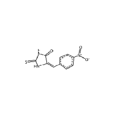 O=C1NC(=S)NC1=Cc1ccc([N+](=O)[O-])cc1